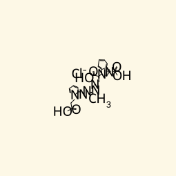 CC(N=NCC(C(=O)O)[n+]1cn(C(=O)O)c2ccccc21)=NN=c1ccccn1CCC(=O)O.[Cl-]